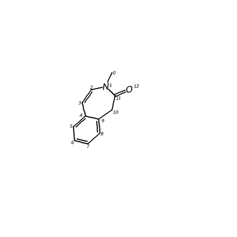 CN1C=Cc2ccccc2CC1=O